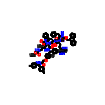 COc1ccc(C(NC(=O)[C@H](CCCCNC(=O)OC(C)(C)C)NC(=O)[C@H](Cc2cn(C(=O)OC(C)(C)C)c3ccccc23)NC(=O)[C@H](CCCNC(C)=N)NC(=O)[C@@H](Cc2ccccc2)NC(=O)OCC2c3ccccc3-c3ccccc32)c2ccc(OCC(=O)NC(c3ccc(C)cc3)c3ccc(C)cc3)cc2)c(OC)c1